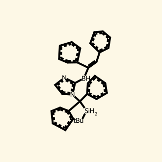 CC(C)(C)[SiH2]C(c1ccccc1)(c1ccccc1)n1ccnc1BC(=Cc1ccccc1)c1ccccc1